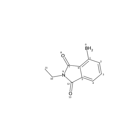 Bc1cccc2c1C(=O)N(CC)C2=O